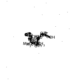 CC[C@H](C)C([C@@H](CC(=O)N1CCC[C@H]1[C@H](OC)[C@@H](C)C(=O)N[C@@H](Cc1ccccc1)c1nccs1)OC)N(C)C(=O)CNC(=O)C(C(C)C)N(C)C(=O)OCc1ccc(NC(=O)CNC(=O)C(NC(=O)CCOCCO)C(C)C)cc1